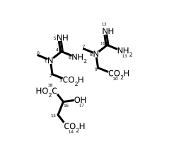 CN(CC(=O)O)C(=N)N.CN(CC(=O)O)C(=N)N.O=C(O)CC(O)C(=O)O